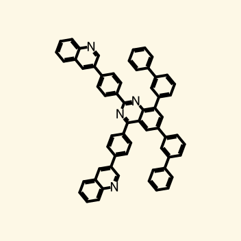 c1ccc(-c2cccc(-c3cc(-c4cccc(-c5ccccc5)c4)c4nc(-c5ccc(-c6cnc7ccccc7c6)cc5)nc(-c5ccc(-c6cnc7ccccc7c6)cc5)c4c3)c2)cc1